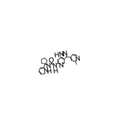 Cc1cc(-c2n[nH]c3cc(NC(=O)NC4(c5ccccn5)CCCC4)ncc23)ccn1